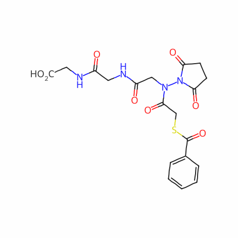 O=C(O)CNC(=O)CNC(=O)CN(C(=O)CSC(=O)c1ccccc1)N1C(=O)CCC1=O